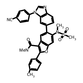 CNC(=O)c1c(-c2ccc(C)cc2)oc2cc(N(C)S(C)(=O)=O)c(-c3ccc4ncn(-c5ccc(C#N)cc5)c4c3)cc12